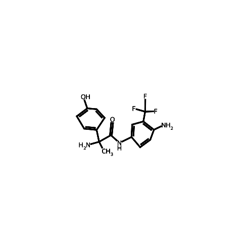 CC(N)(C(=O)Nc1ccc(N)c(C(F)(F)F)c1)c1ccc(O)cc1